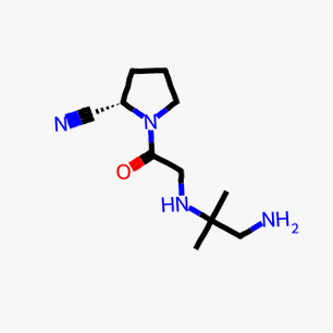 CC(C)(CN)NCC(=O)N1CCC[C@H]1C#N